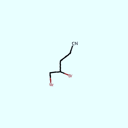 N#CCCC(Br)CBr